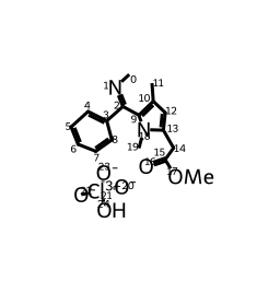 CN=C(c1ccccc1)c1c(C)cc(CC(=O)OC)n1C.[O-][Cl+3]([O-])([O-])O